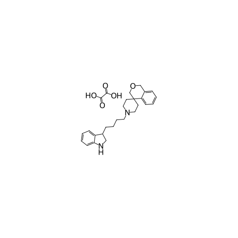 O=C(O)C(=O)O.c1ccc2c(c1)COCC21CCN(CCCCC2CNc3ccccc32)CC1